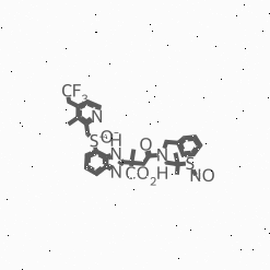 Cc1c(CC(F)(F)F)ccnc1C[S+]([O-])c1cccc2nc(C(C)(CC(=O)N(Cc3ccccc3)CC(C)(C)SN=O)C(=O)O)[nH]c12